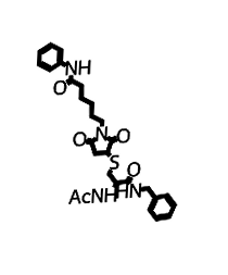 CC(=O)NC(CSC1CC(=O)N(CCCCCC(=O)Nc2ccccc2)C1=O)C(=O)NCc1ccccc1